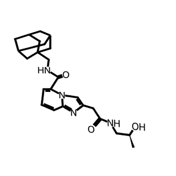 C[C@H](O)CNC(=O)Cc1cn2c(C(=O)NCC34CC5CC(CC(C5)C3)C4)cccc2n1